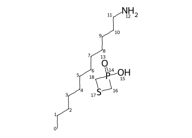 CCCCCCCCCCCCN.O=P1(O)CSC1